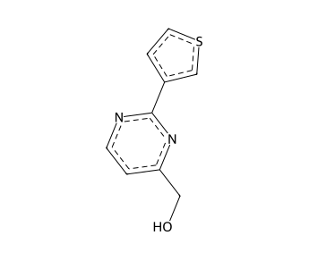 OCc1ccnc(-c2ccsc2)n1